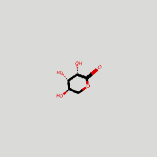 O=C1OC[C@@H](O)[C@H](O)[C@@H]1O